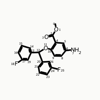 COC(=O)c1cc(N)ccc1OC(c1cccc(F)c1)c1cccc(F)c1